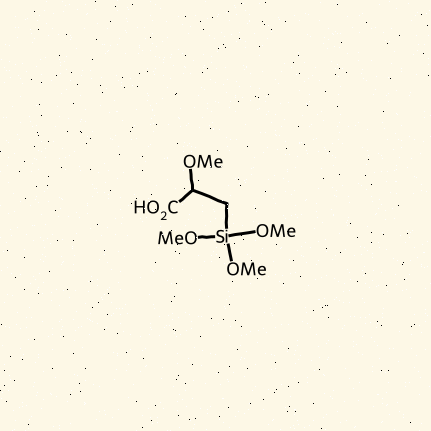 COC(C[Si](OC)(OC)OC)C(=O)O